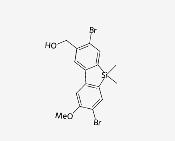 COc1cc2c(cc1Br)[Si](C)(C)c1cc(Br)c(CO)cc1-2